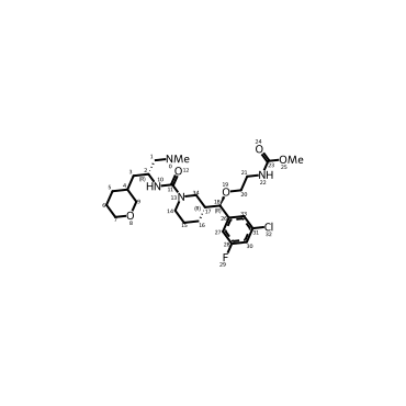 CNC[C@@H](CC1CCCOC1)NC(=O)N1CCC[C@@H]([C@@H](OCCNC(=O)OC)c2cc(F)cc(Cl)c2)C1